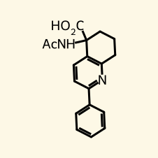 CC(=O)NC1(C(=O)O)CCCc2nc(-c3ccccc3)ccc21